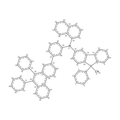 CC1(c2ccccc2)c2ccccc2-c2cc(N(c3cccc(-c4ccc5c(c4)c(-c4ccccc4)c(-c4ccccc4)c4ccccc45)c3)c3cccc4ccccc34)ccc21